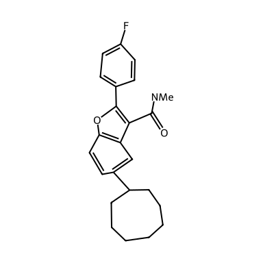 CNC(=O)c1c(-c2ccc(F)cc2)oc2ccc(C3CCCCCCC3)cc12